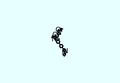 Cc1cc(-c2ccc(-c3cnn(C4CCC4)c3)cc2)ccc1C1=NC2(CC2)C(=O)N1CC1CN(C(=O)C2(C)CC2)C1